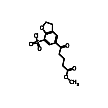 COC(=O)CCCC(=O)c1cc2c(c(S(=O)(=O)Cl)c1)OCC2